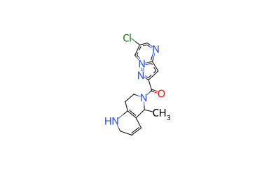 CC1C2=C(CCN1C(=O)c1cc3ncc(Cl)cn3n1)NCC=C2